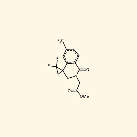 COC(=O)CN1CC2(CC2(F)F)c2cc(C(F)(F)F)ccc2C1=O